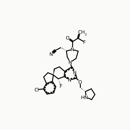 C=C(F)C(=O)N1CCN(c2nc(OC[C@@H]3CCCN3)nc3c2CC[C@@]2(CCc4c(Cl)cccc42)[C@H]3F)C[C@@H]1CC#N